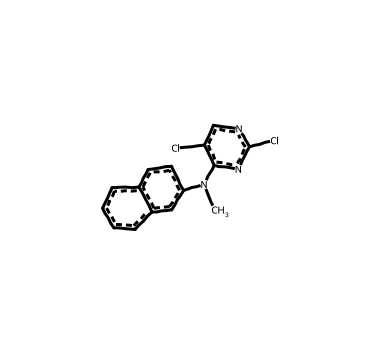 CN(c1ccc2ccccc2c1)c1nc(Cl)ncc1Cl